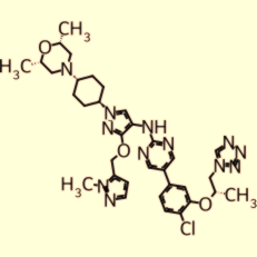 C[C@@H]1CN([C@H]2CC[C@H](n3cc(Nc4ncc(-c5ccc(Cl)c(O[C@@H](C)Cn6cnnn6)c5)cn4)c(OCc4ccnn4C)n3)CC2)C[C@H](C)O1